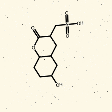 O=C1OC2CCC(O)CC2CC1CS(=O)(=O)O